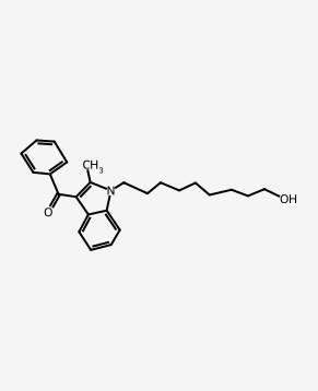 Cc1c(C(=O)c2ccccc2)c2ccccc2n1CCCCCCCCCO